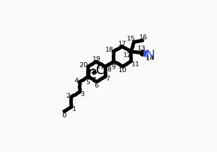 CCCCCC12CCC(C3CCC(C#N)(CC)CC3)(CC1)CC2